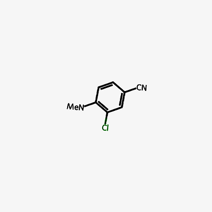 CNc1ccc(C#N)cc1Cl